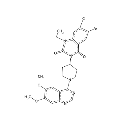 CCn1c(=O)n(C2CCN(c3ncnc4cc(OC)c(OC)cc34)CC2)c(=O)c2cc(Br)c(Cl)cc21